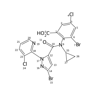 O=C(O)c1cc(Cl)cc(Br)c1N(C(=O)c1cc(Br)nn1-c1ncccc1Cl)C1CC1